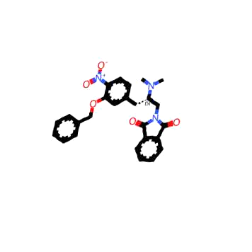 CN(C)[C@@H](Cc1ccc([N+](=O)[O-])c(OCc2ccccc2)c1)CN1C(=O)c2ccccc2C1=O